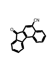 N#Cc1cc2c(c3ccccc13)-c1ccccc1C2=O